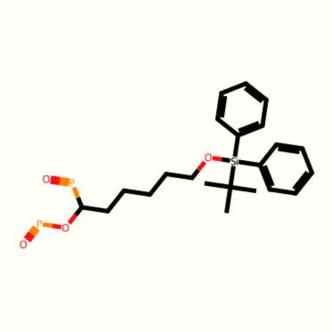 CC(C)(C)[Si](OCCCCCC(OP=O)P=O)(c1ccccc1)c1ccccc1